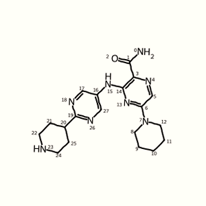 NC(=O)c1ncc(N2CCCCC2)nc1Nc1cnc(C2CCNCC2)nc1